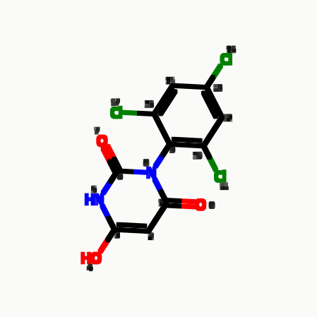 O=c1cc(O)[nH]c(=O)n1-c1c(Cl)cc(Cl)cc1Cl